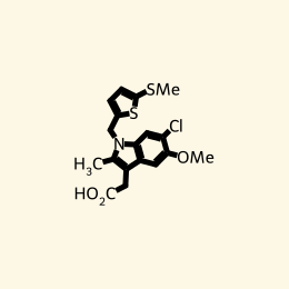 COc1cc2c(CC(=O)O)c(C)n(Cc3ccc(SC)s3)c2cc1Cl